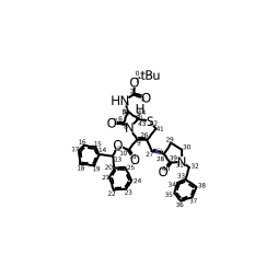 CC(C)(C)OC(=O)N[C@@H]1C(=O)N2C(C(=O)OC(c3ccccc3)c3ccccc3)=C(/C=C3\CCN(Cc4ccccc4)C3=O)CS[C@H]12